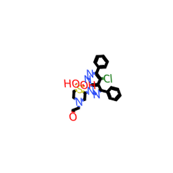 O=CCN1CCS(O)(O)C(n2nc(-c3ccccc3)c3c(Cl)c(-c4ccccc4)nnc32)C1